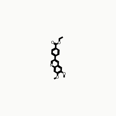 CCOC(=O)c1ccc(-c2cnc3cc(OC)c(OC)cc3c2)cc1